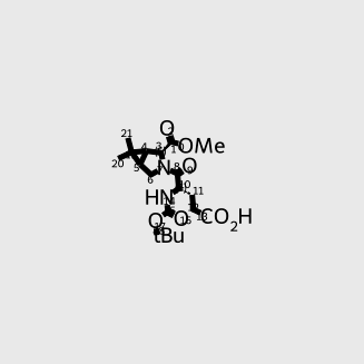 COC(=O)[C@@H]1C2C(CN1C(=O)[C@H](CCC(=O)O)NC(=O)OC(C)(C)C)C2(C)C